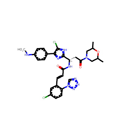 CC1CN(C(=O)C[C@H](NC(=O)/C=C/c2cc(Cl)ccc2-n2cnnn2)c2nc(-c3ccc(NC(=O)O)cc3)c(Cl)[nH]2)CC(C)O1